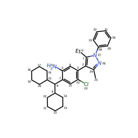 CCc1c(-c2cc(N)c(C(C3CCCCC3)C3CCCCC3)cc2Cl)c(C)nn1-c1ccccc1